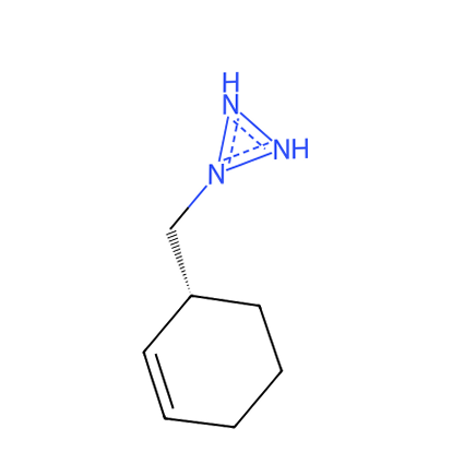 C1=C[C@H](Cn2[nH][nH]2)CCC1